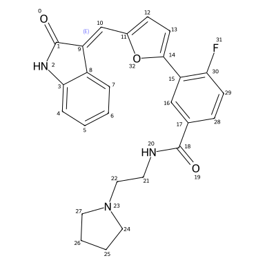 O=C1Nc2ccccc2/C1=C\c1ccc(-c2cc(C(=O)NCCN3CCCC3)ccc2F)o1